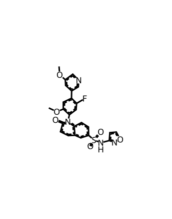 COc1cncc(-c2cc(OC)c(-n3c(=O)ccc4cc(S(=O)(=O)Nc5ccon5)ccc43)cc2F)c1